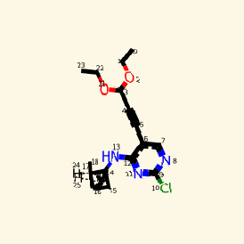 CCOC(C#Cc1cnc(Cl)nc1NC12CC([C@H]1C)[C@H]2C)OCC